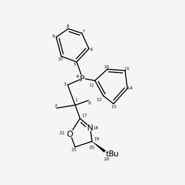 CC(C)(CP(c1ccccc1)c1ccccc1)C1=N[C@@H](C(C)(C)C)CO1